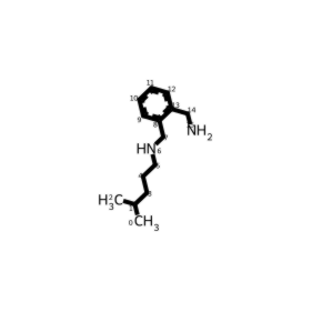 CC(C)CCCNCc1ccccc1CN